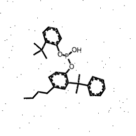 CCCCc1ccc(OP(O)Oc2ccccc2C(C)(C)C)c(C(C)(C)c2ccccc2)c1